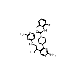 Nc1ncc(C(O)CNc2ccnc(C(F)(F)F)n2)c(C2CCN(C(=O)Nc3c(F)cccc3F)CC2)n1